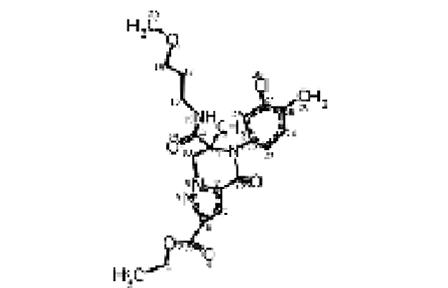 CCOC(=O)c1cc2n(n1)CC(C)(C(=O)NCCCOC)N(c1ccc(C)c(Cl)c1)C2=O